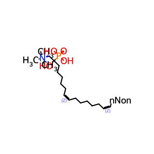 CCCCCCCCC/C=C\CCCCC/C=C\CCCCCC(O)(C[N+](C)(C)C)P(=O)(O)O